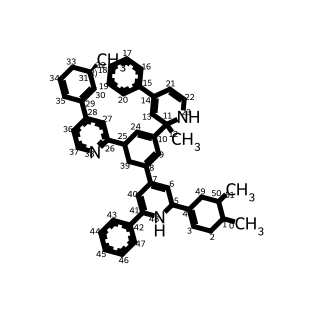 CC1CC=C(C2C=C(C3=CC(C4(C)C=C(c5ccccc5)C=CN4)=CC(c4cc(C5=C[C@H](C)CC=C5)ccn4)C3)C=C(c3ccccc3)N2)CC1C